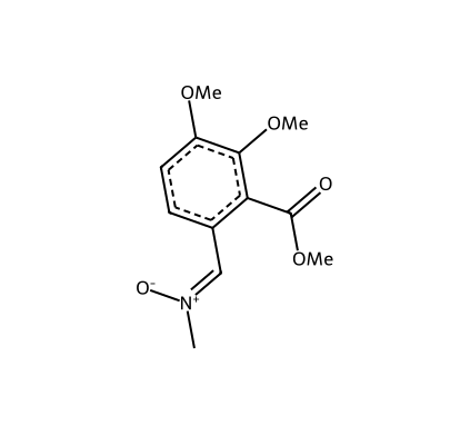 COC(=O)c1c(C=[N+](C)[O-])ccc(OC)c1OC